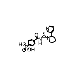 O=C(NC1SC1N1CCCCC1c1cccnc1)c1ccc(P(=O)(O)O)cc1